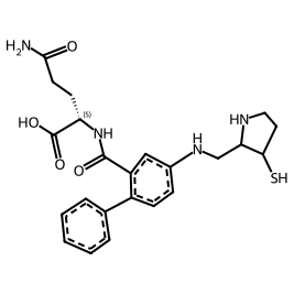 NC(=O)CC[C@H](NC(=O)c1cc(NCC2NCCC2S)ccc1-c1ccccc1)C(=O)O